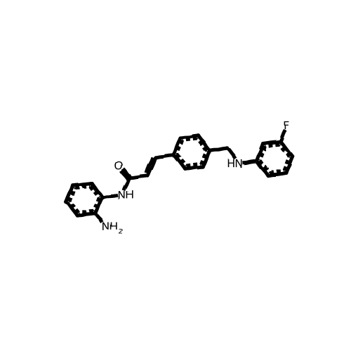 Nc1ccccc1NC(=O)C=Cc1ccc(CNc2cccc(F)c2)cc1